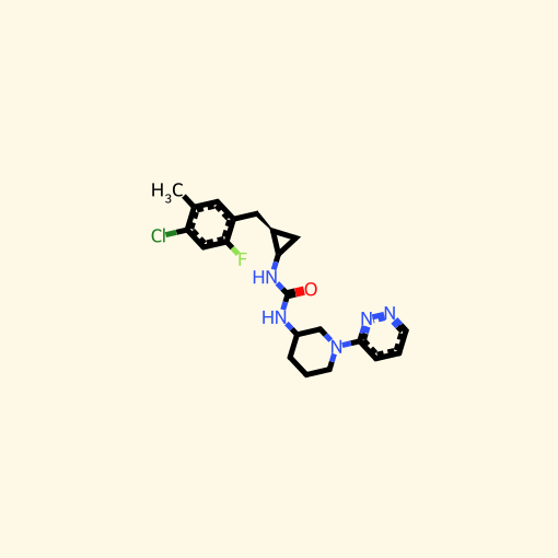 Cc1cc(C[C@H]2CC2NC(=O)NC2CCCN(c3cccnn3)C2)c(F)cc1Cl